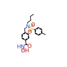 CCCCN(Cc1ccc(C(=O)NO)cc1)S(=O)(=O)c1ccc(C)cc1